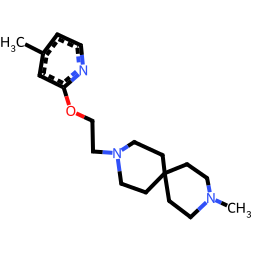 Cc1ccnc(OCCN2CCC3(CCN(C)CC3)CC2)c1